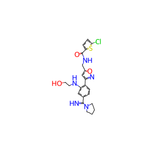 N=C(c1ccc(-c2cc(CNC(=O)c3ccc(Cl)s3)on2)c(NCCO)c1)N1CCCC1